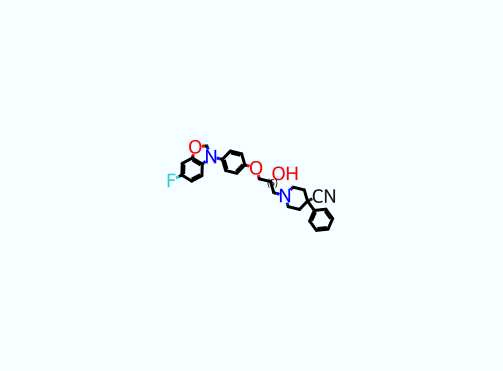 N#CC1(c2ccccc2)CCN(C[C@H](O)COc2ccc(N3COc4cc(F)ccc43)cc2)CC1